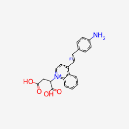 Nc1ccc(/C=C/c2cc[n+](C(CC(=O)O)C(=O)O)c3ccccc23)cc1